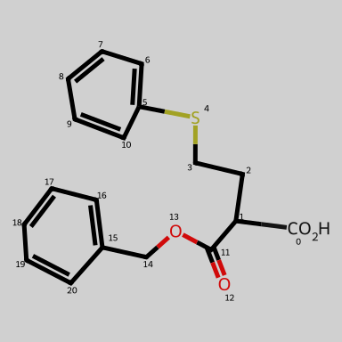 O=C(O)C(CCSc1ccccc1)C(=O)OCc1ccccc1